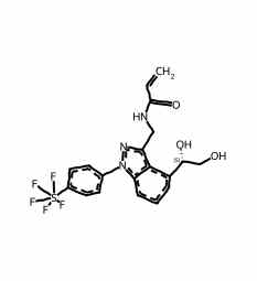 C=CC(=O)NCc1nn(-c2ccc(S(F)(F)(F)(F)F)cc2)c2cccc([C@H](O)CO)c12